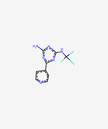 Nc1nc(NC(F)(F)F)nc(-c2ccncc2)n1